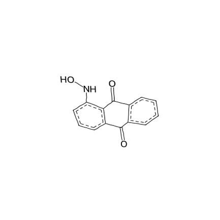 O=C1c2ccccc2C(=O)c2c(NO)cccc21